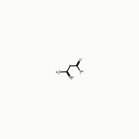 N=C(N)CC(=O)S